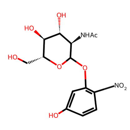 CC(=O)N[C@H]1C(Oc2cc(O)ccc2[N+](=O)[O-])O[C@H](CO)[C@@H](O)[C@@H]1O